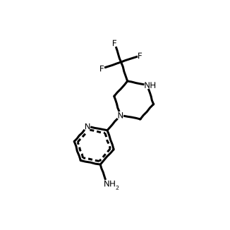 Nc1ccnc(N2CCNC(C(F)(F)F)C2)c1